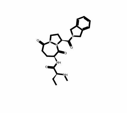 CC[C@H](NC)C(=O)N[C@H]1CCC(=O)N2CC[C@@H](C(=O)N3Cc4ccccc4C3)N2C1=O